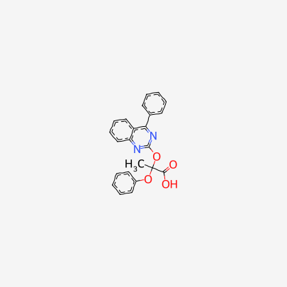 CC(Oc1ccccc1)(Oc1nc(-c2ccccc2)c2ccccc2n1)C(=O)O